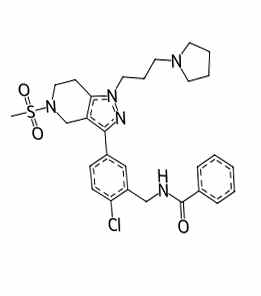 CS(=O)(=O)N1CCc2c(c(-c3ccc(Cl)c(CNC(=O)c4ccccc4)c3)nn2CCCN2CCCC2)C1